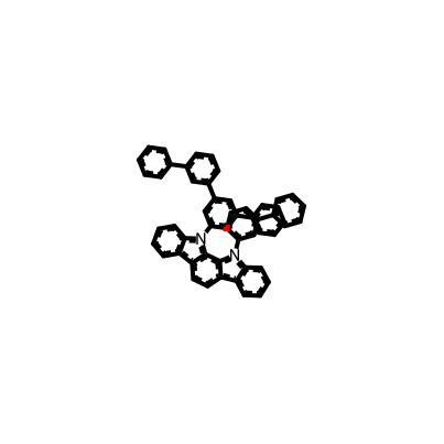 c1ccc(-c2cccc(-c3cc(-c4ccccc4)cc(-n4c5ccccc5c5ccc6c7ccccc7n(-c7cccc(-c8ccccc8)c7)c6c54)c3)c2)cc1